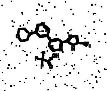 FC(F)(F)c1cnc(-c2cc(-c3cncc(N4CCOCC4)c3)ccn2)[nH]1.O=C(O)C(F)(F)F